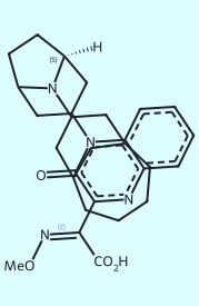 CO/N=C(\C(=O)O)c1nc2ccccc2n(C2CC3CC[C@@H](C2)N3C2CC3CCCCC(C3)C2)c1=O